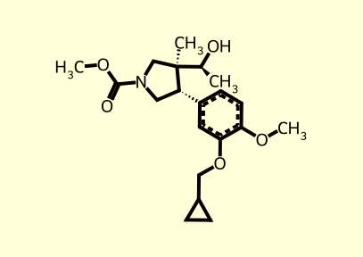 COC(=O)N1C[C@@H](c2ccc(OC)c(OCC3CC3)c2)[C@](C)([C@H](C)O)C1